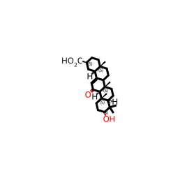 CC1(C)[C@@H](O)CC[C@]2(C)[C@H]3C(=O)C=C4C(CC[C@@]5(C)CC[C@H](C(=O)O)C[C@@H]45)[C@]3(C)CC[C@@H]12